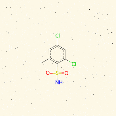 Cc1cc(Cl)cc(Cl)c1S([NH])(=O)=O